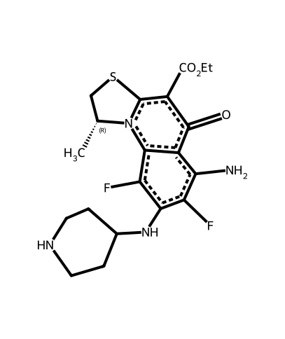 CCOC(=O)c1c2n(c3c(F)c(NC4CCNCC4)c(F)c(N)c3c1=O)[C@H](C)CS2